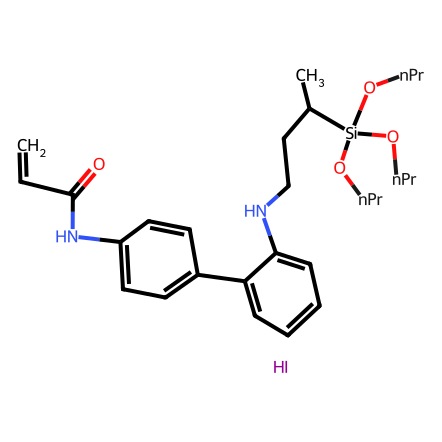 C=CC(=O)Nc1ccc(-c2ccccc2NCCC(C)[Si](OCCC)(OCCC)OCCC)cc1.I